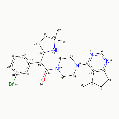 CC1CCc2ncnc(N3CCN(C(=O)C(c4cccc(Br)c4)C4CCC(C)(C)N4)CC3)c21